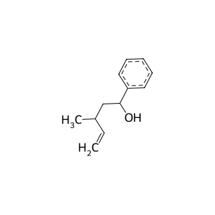 C=CC(C)CC(O)c1ccccc1